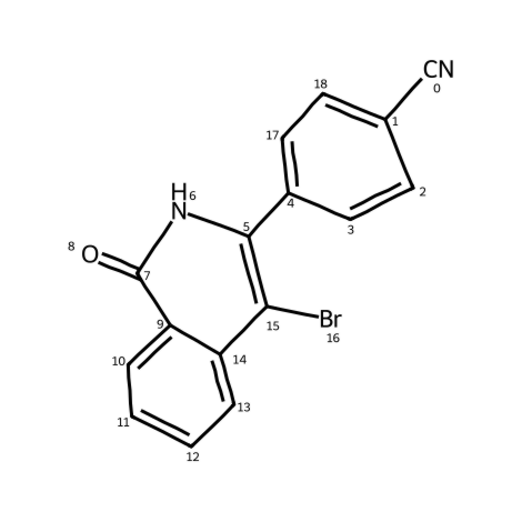 N#Cc1ccc(-c2[nH]c(=O)c3ccccc3c2Br)cc1